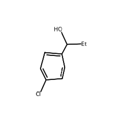 [CH2]CC(O)c1ccc(Cl)cc1